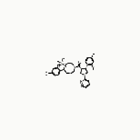 CS(=O)(=O)N1CCN(C(=O)[C@@H]2CN(c3cccnn3)C[C@H]2c2ccc(F)cc2F)CCCC1c1ccc(Cl)cc1